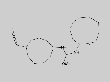 COC(NC1CCCCCCCCC1)NC1CCCCC(N=C=O)CCC1